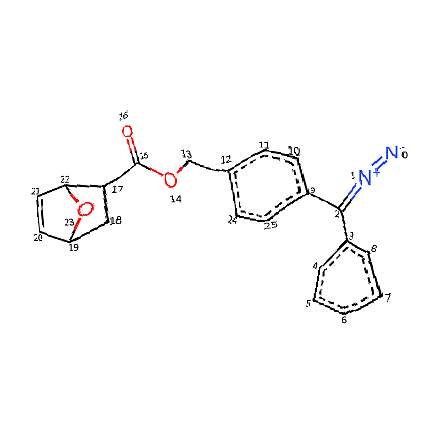 [N-]=[N+]=C(c1ccccc1)c1ccc(COC(=O)C2CC3C=CC2O3)cc1